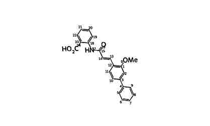 COc1cc(-c2ccccc2)ccc1C=CC(=O)Nc1ccccc1C(=O)O